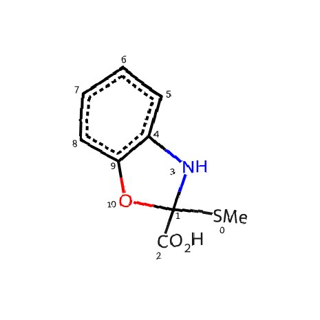 CSC1(C(=O)O)Nc2ccccc2O1